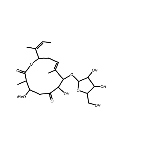 C/C=C(/C)C1C/C=C(\C)C(OC2OC(CO)C(O)C2O)C(O)C(=O)CC(OC)C(C)C(=O)O1